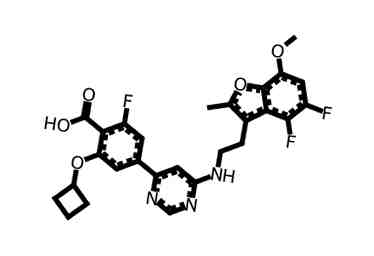 COc1cc(F)c(F)c2c(CCNc3cc(-c4cc(F)c(C(=O)O)c(OC5CCC5)c4)ncn3)c(C)oc12